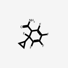 NC(=O)C1C(F)=C(F)C(F)=C(F)C1(F)C1CC1